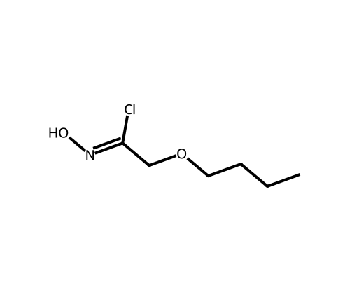 CCCCOCC(Cl)=NO